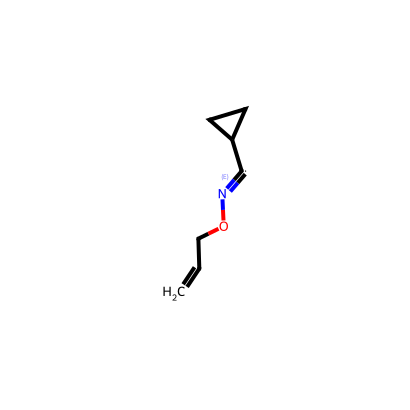 C=CCO/N=[C]/C1CC1